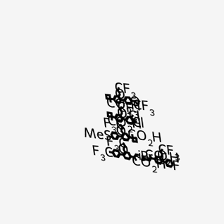 CC(C)CC(C(=O)O)c1ccc(-c2ccc(C(F)(F)F)cc2)c(OCC(F)(F)F)c1.CSc1ccc(-c2ccc(C3(C(=O)O)CCC3)cc2OCC(F)(F)F)cc1.O=C(O)C(CC1CC1)c1ccc(-c2ccc(F)cc2)c(OCC(F)(F)F)c1.O=C(O)C1(c2ccc(-c3ccc(Cl)c(Cl)c3)c(OCC(F)(F)F)c2)CCC1.O=C(O)C1(c2ccc(-c3ccc(OC(F)(F)F)cc3)c(OCC(F)(F)F)c2)CCC1